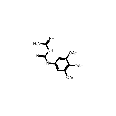 CC(=O)Oc1cc(NC(=N)NC(=N)N)cc(OC(C)=O)c1OC(C)=O